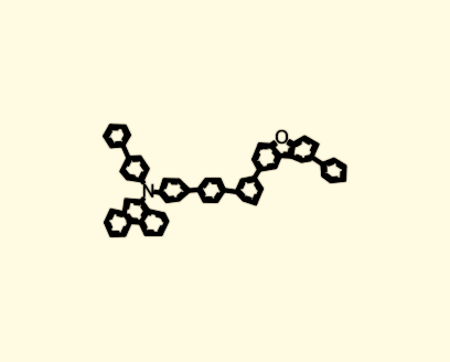 c1ccc(-c2ccc(N(c3ccc(-c4ccc(-c5cccc(-c6ccc7oc8ccc(-c9ccccc9)cc8c7c6)c5)cc4)cc3)c3cc4ccccc4c4ccccc34)cc2)cc1